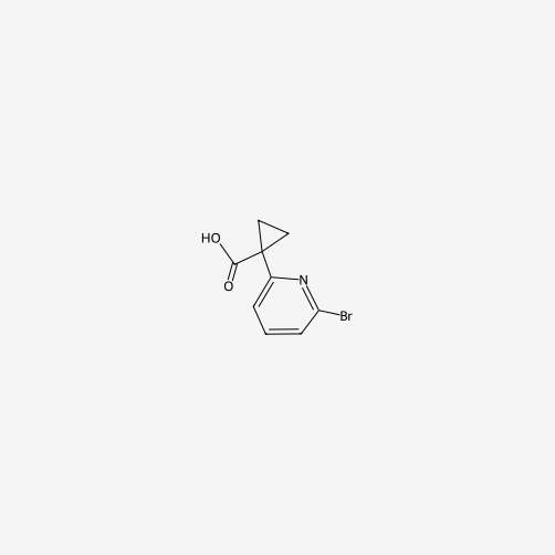 O=C(O)C1(c2cccc(Br)n2)CC1